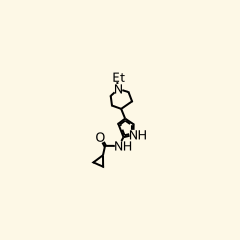 CCN1CCC(c2c[nH]c(NC(=O)C3CC3)c2)CC1